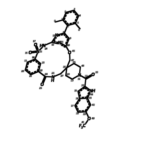 Cc1cccc(C)c1-c1cc2nc(n1)NS(=O)(=O)c1cccc(c1)C(=O)NCC1(CCN(C(=O)c3cc4ccc(OC(F)(F)F)cc4[nH]3)CC1)CO2